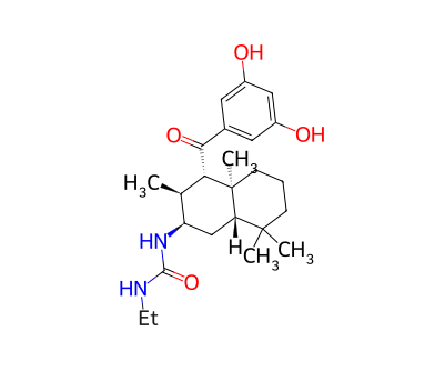 CCNC(=O)N[C@@H]1C[C@H]2C(C)(C)CCC[C@]2(C)[C@@H](C(=O)c2cc(O)cc(O)c2)[C@@H]1C